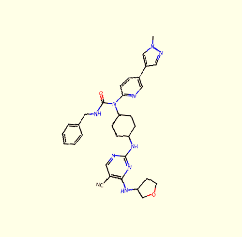 Cn1cc(-c2ccc(N(C(=O)NCc3ccccc3)C3CCC(Nc4ncc(C#N)c(NC5CCOC5)n4)CC3)nc2)cn1